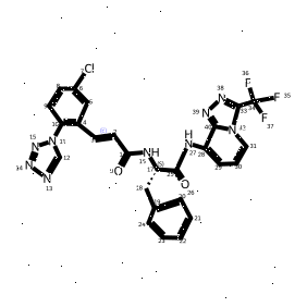 O=C(/C=C/c1cc(Cl)ccc1-n1cnnn1)N[C@@H](Cc1ccccc1)C(=O)Nc1cccn2c(C(F)(F)F)nnc12